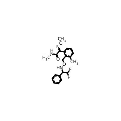 CNC(=O)/C(=N/OC)c1cccc(C)c1CONC(c1ccccc1)C(F)F